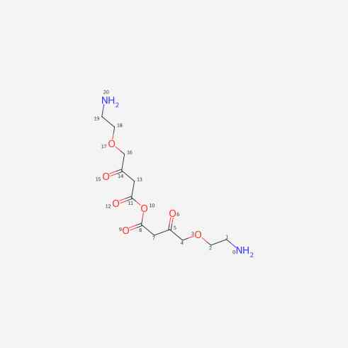 NCCOCC(=O)CC(=O)OC(=O)CC(=O)COCCN